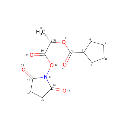 C[C@H](OC(=O)C1CCCC1)C(=O)ON1C(=O)CCC1=O